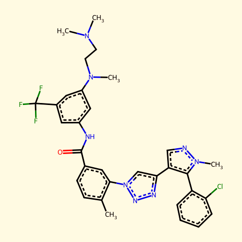 Cc1ccc(C(=O)Nc2cc(N(C)CCN(C)C)cc(C(F)(F)F)c2)cc1-n1cc(-c2cnn(C)c2-c2ccccc2Cl)nn1